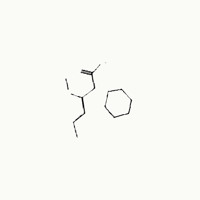 C1CCCCC1.CCCC(CC(=O)O)OC